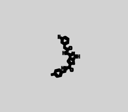 Cc1ccc(CNC(=O)c2cc3c(NC(=O)Cc4cccc(F)c4)n[nH]c3s2)cc1